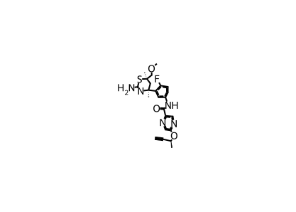 C#C[C@H](C)Oc1cnc(C(=O)Nc2ccc(F)c([C@]3(C)C[C@](C)(COC)SC(N)=N3)c2)cn1